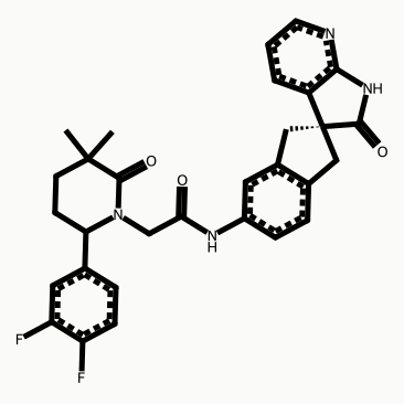 CC1(C)CCC(c2ccc(F)c(F)c2)N(CC(=O)Nc2ccc3c(c2)C[C@@]2(C3)C(=O)Nc3ncccc32)C1=O